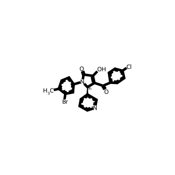 Cc1ccc(N2C(=O)C(O)=C(C(=O)c3ccc(Cl)cc3)[C@H]2c2cccnc2)cc1Br